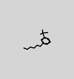 CCCCCCc1[c]c(C(C)(C)C)ccc1